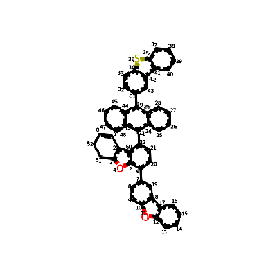 C1=Cc2c(oc3c(-c4ccc5oc6ccccc6c5c4)ccc(-c4c5ccccc5c(-c5ccc6sc7ccccc7c6c5)c5ccccc45)c23)CC1